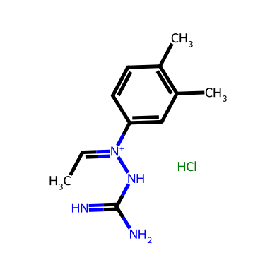 CC=[N+](NC(=N)N)c1ccc(C)c(C)c1.Cl